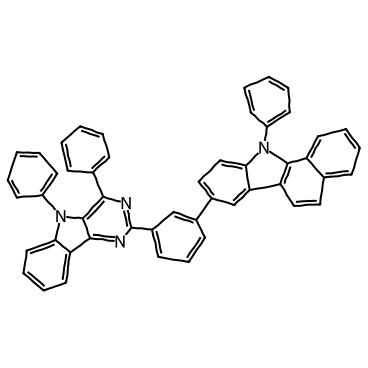 c1ccc(-c2nc(-c3cccc(-c4ccc5c(c4)c4ccc6ccccc6c4n5-c4ccccc4)c3)nc3c4ccccc4n(-c4ccccc4)c23)cc1